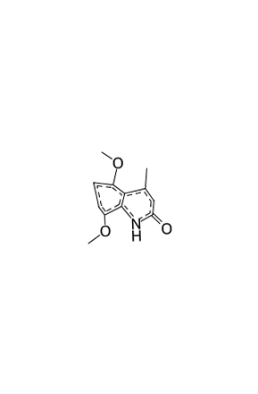 COc1ccc(OC)c2c(C)cc(=O)[nH]c12